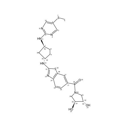 CSc1cnc(N[C@H]2CC[C@H](Nc3nc4ccc(C(=O)N5C[C@H](O)[C@@H](O)C5)cc4s3)C2)nc1